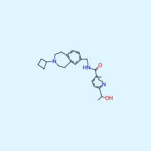 CC(O)c1ccc(C(=O)NCc2ccc3c(c2)CCN(C2CCC2)CC3)cn1